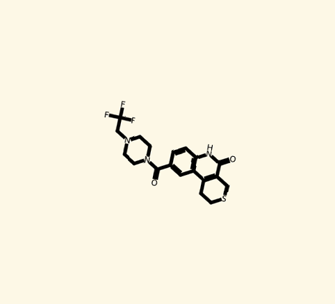 O=C(c1ccc2[nH]c(=O)c3c(c2c1)CCSC3)N1CCN(CC(F)(F)F)CC1